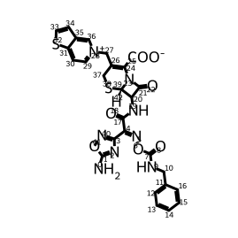 Nc1nc(C(=NOC(=O)NCc2ccccc2)C(=O)NC2C(=O)N3C(C(=O)[O-])=C(C[n+]4ccc5sccc5c4)CS[C@@H]23)no1